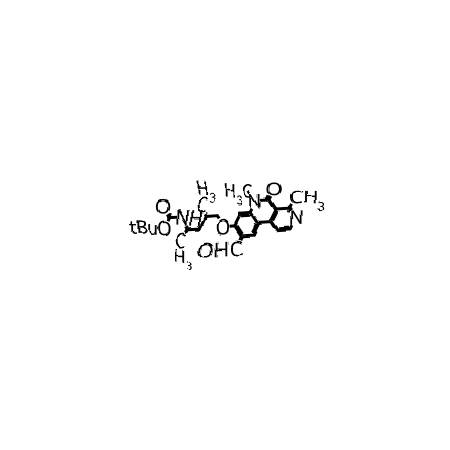 Cc1nccc2c1c(=O)n(C)c1cc(OCC(C)CC(C)NC(=O)OC(C)(C)C)c(C=O)cc21